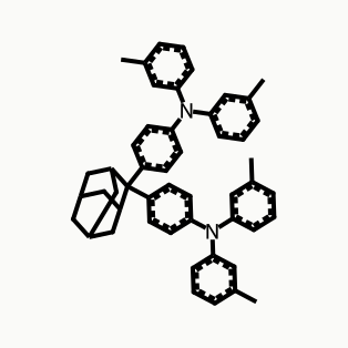 Cc1cccc(N(c2ccc(C3(c4ccc(N(c5cccc(C)c5)c5cccc(C)c5)cc4)C4CC5CC(C4)CC3C5)cc2)c2cccc(C)c2)c1